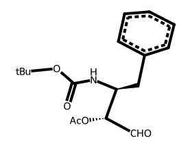 CC(=O)O[C@@H](C=O)[C@H](Cc1ccccc1)NC(=O)OC(C)(C)C